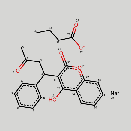 CC(=O)CC(c1ccccc1)c1c(O)c2ccccc2oc1=O.CCCC(=O)[O-].[Na+]